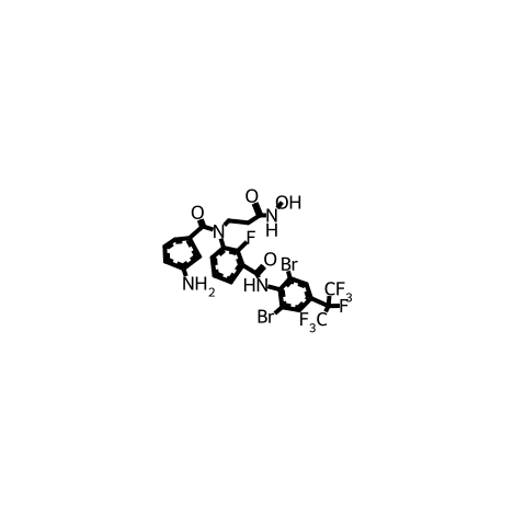 Nc1cccc(C(=O)N(CCC(=O)NO)c2cccc(C(=O)Nc3c(Br)cc(C(F)(C(F)(F)F)C(F)(F)F)cc3Br)c2F)c1